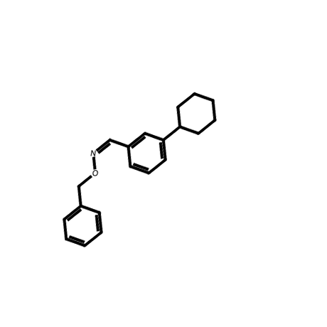 [C](=N/OCc1ccccc1)/c1cccc(C2CCCCC2)c1